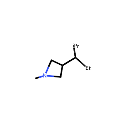 CCC(C(C)C)C1CN(C)C1